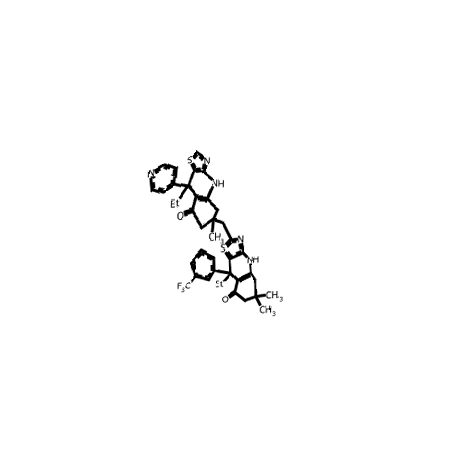 CCC1(c2ccncc2)C2=C(CC(C)(Cc3nc4c(s3)C(CC)(c3cccc(C(F)(F)F)c3)C3=C(CC(C)(C)CC3=O)N4)CC2=O)Nc2ncsc21